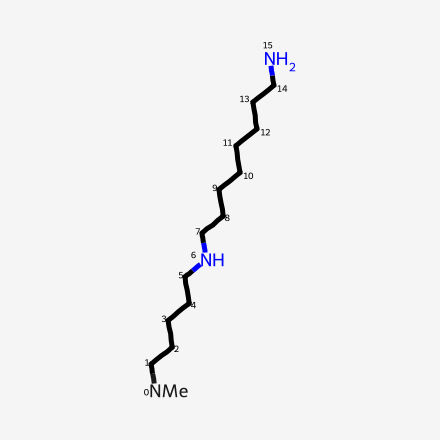 CNCCCCCNCCCCCCCCN